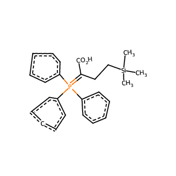 C[Si](C)(C)CCC(C(=O)O)=P(c1ccccc1)(c1ccccc1)c1ccccc1